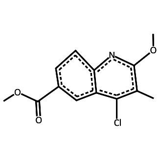 COC(=O)c1ccc2nc(OC)c(C)c(Cl)c2c1